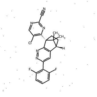 CC1(C)[C@@H]2CC[C@]1(c1nc(C#N)ncc1Cl)c1nnc(-c3c(F)cccc3F)cc12